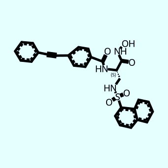 O=C(N[C@@H](CNS(=O)(=O)c1cccc2ccccc12)C(=O)NO)c1ccc(C#Cc2ccccc2)cc1